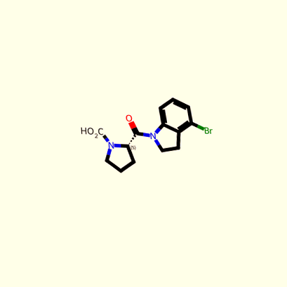 O=C([C@@H]1CCCN1C(=O)O)N1CCc2c(Br)cccc21